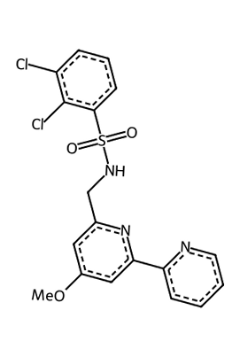 COc1cc(CNS(=O)(=O)c2cccc(Cl)c2Cl)nc(-c2ccccn2)c1